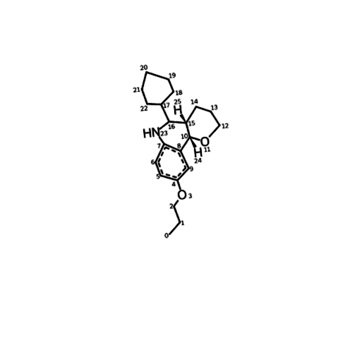 CCCOc1ccc2c(c1)[C@H]1OCCC[C@H]1C(C1CCCCC1)N2